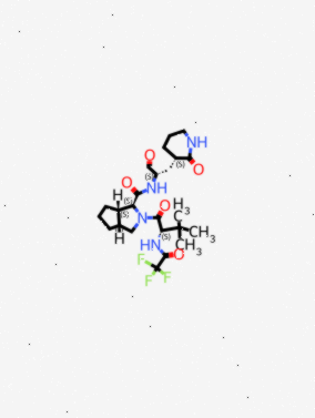 CC(C)(C)[C@H](NC(=O)C(F)(F)F)C(=O)N1C[C@@H]2CCC[C@@H]2[C@H]1C(=O)N[C@H](C=O)C[C@@H]1CCCNC1=O